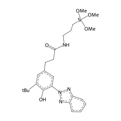 CO[Si](CCCNC(=O)CCc1cc(-n2nc3ccccc3n2)c(O)c(C(C)(C)C)c1)(OC)OC